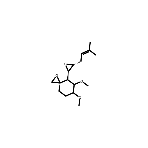 COC1CC[C@]2(CO2)C([C@H]2O[C@@H]2CC=C(C)C)C1OC